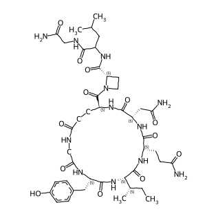 CC[C@H](C)[C@@H]1NC(=O)[C@H](Cc2ccc(O)cc2)NC(=O)CNC(=O)CC[C@@H](C(=O)N2CC[C@H]2C(=O)NC(CC(C)C)C(=O)NCC(N)=O)NC(=O)[C@H](CC(N)=O)NC(=O)[C@H](CCC(N)=O)NC1=O